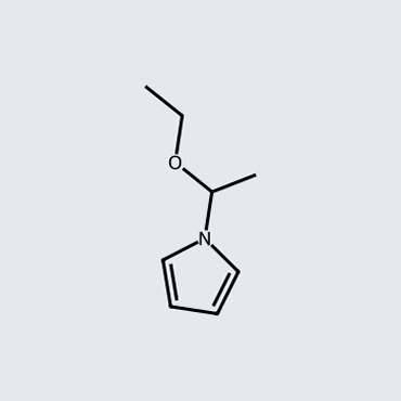 CCOC(C)n1cccc1